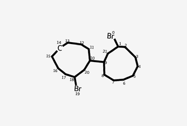 BrC1CCCCCCCC(C2CCCCCCCC(Br)C2)C1